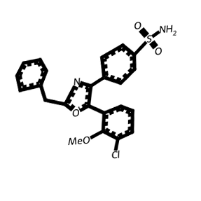 COc1c(Cl)cccc1-c1oc(Cc2ccccc2)nc1-c1ccc(S(N)(=O)=O)cc1